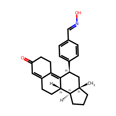 C[C@@]12CCC[C@H]1[C@@H]1CCC3=CC(=O)CCC3=C1[C@@H](c1ccc(C=NO)cc1)C2